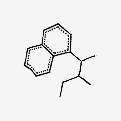 [CH2]C(c1cccc2ccccc12)C(C)CC